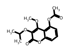 COc1c(OC(C)C)c(=O)oc2cccc(OC(C)=O)c12